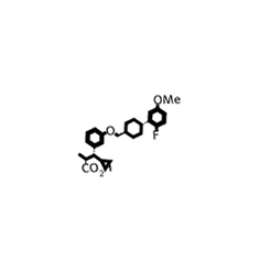 COc1ccc(F)c([C@H]2CC[C@H](COc3cccc([C@H](C4CC4)[C@@H](C)C(=O)O)c3)CC2)c1